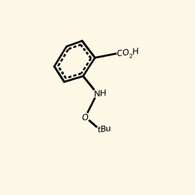 CC(C)(C)ONc1ccccc1C(=O)O